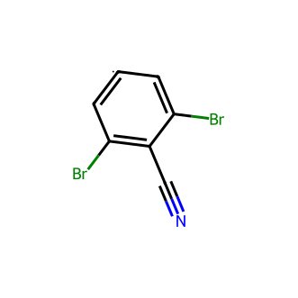 N#Cc1c(Br)c[c]cc1Br